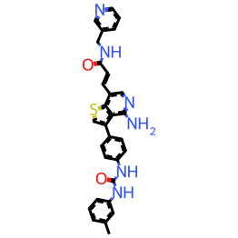 Cc1cccc(NC(=O)Nc2ccc(-c3csc4c(C=CC(=O)NCc5cccnc5)cnc(N)c34)cc2)c1